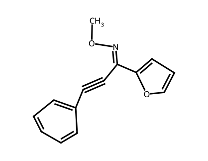 CON=C(C#Cc1ccccc1)c1ccco1